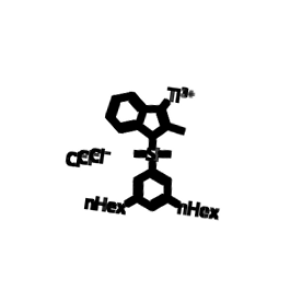 CCCCCCc1cc(CCCCCC)cc([Si](C)(C)C2C(C)=[C]([Ti+3])c3ccccc32)c1.[Cl-].[Cl-].[Cl-]